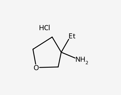 CCC1(N)CCOC1.Cl